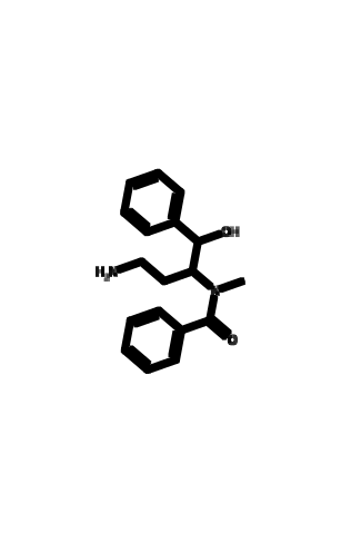 CN(C(=O)c1ccccc1)C(CCN)C(O)c1ccccc1